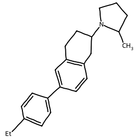 CCc1ccc(-c2ccc3c(c2)CCC(N2CCCC2C)C3)cc1